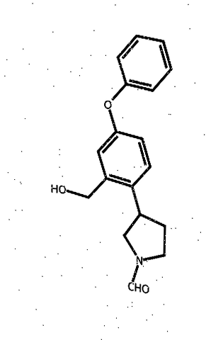 O=CN1CCC(c2ccc(Oc3ccccc3)cc2CO)C1